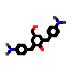 CCN(CC)c1ccc(C=C2CC(CO)CC(=Cc3ccc(N(CC)CC)cc3)C2=O)cc1